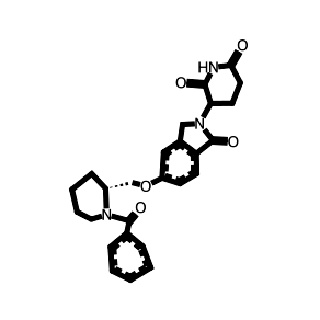 O=C1CCC(N2Cc3cc(OC[C@H]4CCCCN4C(=O)c4ccccc4)ccc3C2=O)C(=O)N1